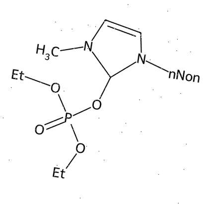 CCCCCCCCCN1C=CN(C)C1OP(=O)(OCC)OCC